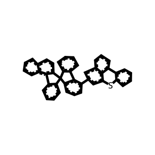 c1ccc2c(c1)Sc1cc(-c3cccc4c3-c3ccccc3C43c4ccccc4-c4c3ccc3ccccc43)cc3cccc-2c13